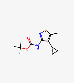 Cc1snc(NC(=O)OC(C)(C)C)c1C1CC1